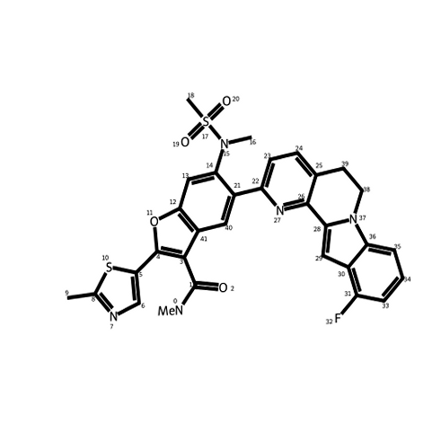 CNC(=O)c1c(-c2cnc(C)s2)oc2cc(N(C)S(C)(=O)=O)c(-c3ccc4c(n3)-c3cc5c(F)cccc5n3CC4)cc12